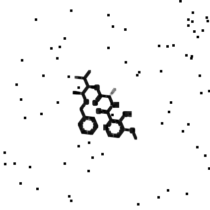 COc1ccnc(C(=O)N[C@@H](C)C(=O)O[C@H](C(C)C)[C@H](C)OCc2ccccc2)c1O